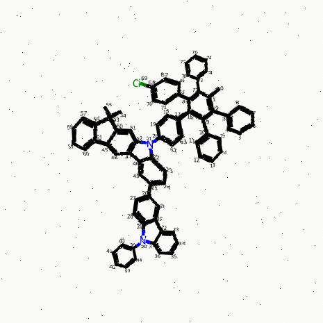 Cc1c(-c2ccccc2)c(-c2ccccc2)c(-c2ccc(-n3c4ccc(-c5ccc6c(c5)c5ccccc5n6-c5ccccc5)cc4c4cc5c(cc43)C(C)(C)c3ccccc3-5)cc2)c(-c2ccc(Cl)cc2)c1-c1ccccc1